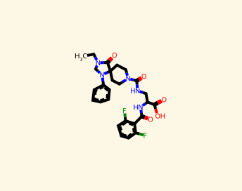 CCN1CN(c2ccccc2)C2(CCN(C(=O)NCC(NC(=O)c3c(F)cccc3F)C(=O)O)CC2)C1=O